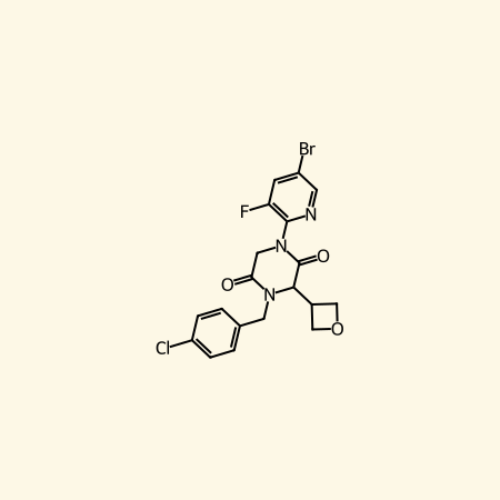 O=C1C(C2COC2)N(Cc2ccc(Cl)cc2)C(=O)CN1c1ncc(Br)cc1F